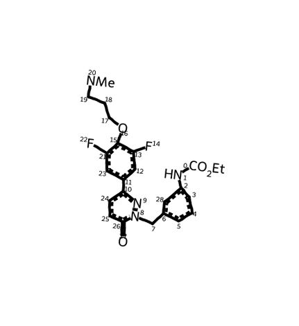 CCOC(=O)Nc1cccc(Cn2nc(-c3cc(F)c(OCCCNC)c(F)c3)ccc2=O)c1